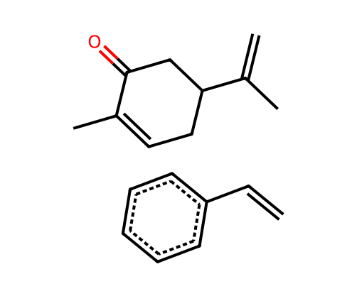 C=C(C)C1CC=C(C)C(=O)C1.C=Cc1ccccc1